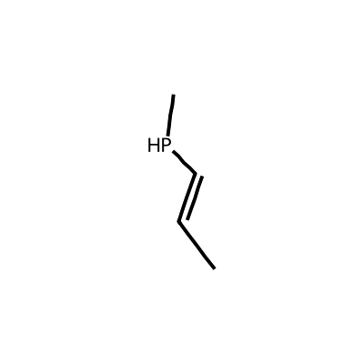 CC=CPC